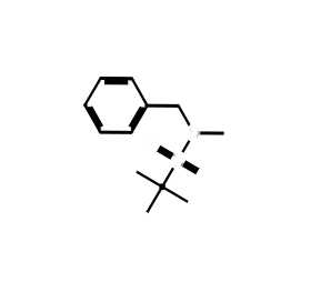 CN(Cc1ccccc1)S(=O)(=O)C(C)(C)C